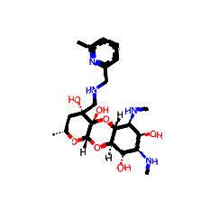 CN[C@@H]1[C@H](O)[C@H](NC)[C@H]2O[C@]3(O)[C@H](O[C@@H]2[C@H]1O)O[C@H](C)C[C@@]3(O)CNCc1cccc(C)n1